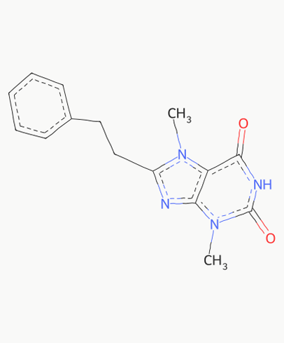 Cn1c(CCc2ccccc2)nc2c1c(=O)[nH]c(=O)n2C